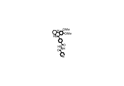 COc1cc2c(cc1OC)[C@H]1CCCC[C@H]1N=C2c1ccc(C(=O)NNC(=O)c2ccncc2)cc1